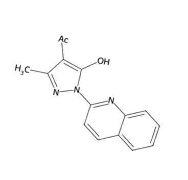 CC(=O)c1c(C)nn(-c2ccc3ccccc3n2)c1O